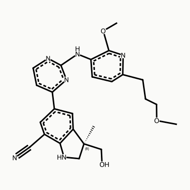 COCCCc1ccc(Nc2nccc(-c3cc(C#N)c4c(c3)[C@@](C)(CO)CN4)n2)c(OC)n1